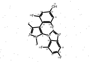 Cc1nn(C)c(-n2cnc3cc(F)cc(F)c32)c1-c1c(F)cc(O)cc1F